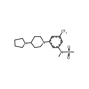 CN(c1cc(N2CCC(N3CCCC3)CC2)cc(C(F)(F)F)c1)S(C)(=O)=O